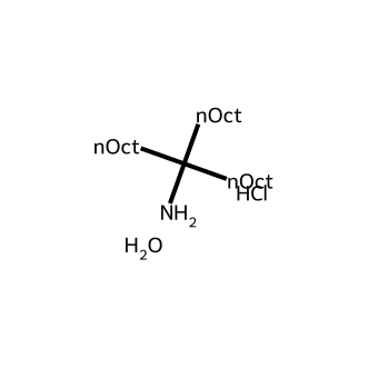 CCCCCCCCC(N)(CCCCCCCC)CCCCCCCC.Cl.O